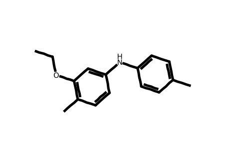 CCOc1cc(Nc2ccc(C)cc2)ccc1C